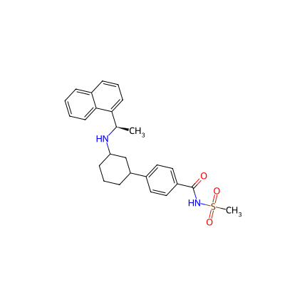 C[C@@H](NC1CCCC(c2ccc(C(=O)NS(C)(=O)=O)cc2)C1)c1cccc2ccccc12